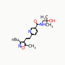 CCCCc1noc(C)c1C=Cc1ccc(C(=O)NCC(C)(C)O)cn1